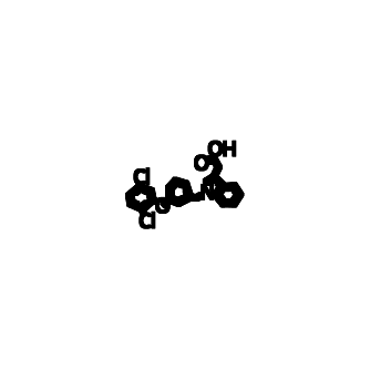 O=C(O)Cc1cn(Cc2cccc(Oc3cc(Cl)ccc3Cl)c2)c2ccccc12